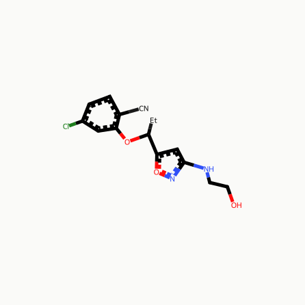 CCC(Oc1cc(Cl)ccc1C#N)c1cc(NCCO)no1